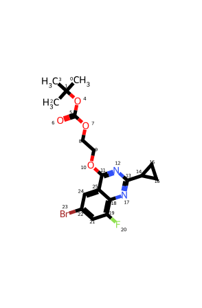 CC(C)(C)OC(=O)OCCOc1nc(C2CC2)nc2c(F)cc(Br)cc12